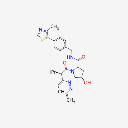 C=C/N=N\C(=C/C)[C@H](C(=O)N1C[C@H](O)C[C@H]1C(=O)NCc1ccc(-c2scnc2C)cc1)C(C)C